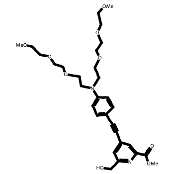 COCCOCCOCCN(CCOCCOCCOC)c1ccc(C#Cc2cc(CO)nc(C(=O)OC)c2)cc1